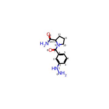 NNc1cccc(C(=O)N2CCCC2C(N)=O)c1